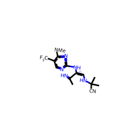 CNc1nc(N/C(=C/NC(C)(C)C#N)C(C)=N)ncc1C(F)(F)F